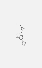 CC(C)(C)c1cc(-c2nc3cc(-c4ccccc4Cl)cc(C(F)(F)F)c3[nH]2)on1